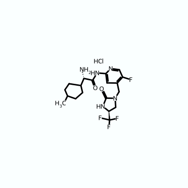 CC1CCC([C@H](N)C(=O)Nc2cc(CN3C[C@@H](C(F)(F)F)NC3=O)c(F)cn2)CC1.Cl